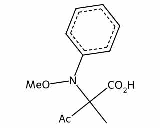 CON(c1ccccc1)C(C)(C(C)=O)C(=O)O